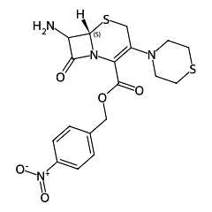 NC1C(=O)N2C(C(=O)OCc3ccc([N+](=O)[O-])cc3)=C(N3CCSCC3)CS[C@@H]12